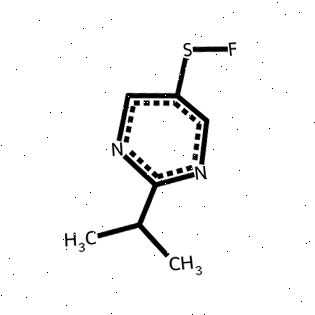 CC(C)c1ncc(SF)cn1